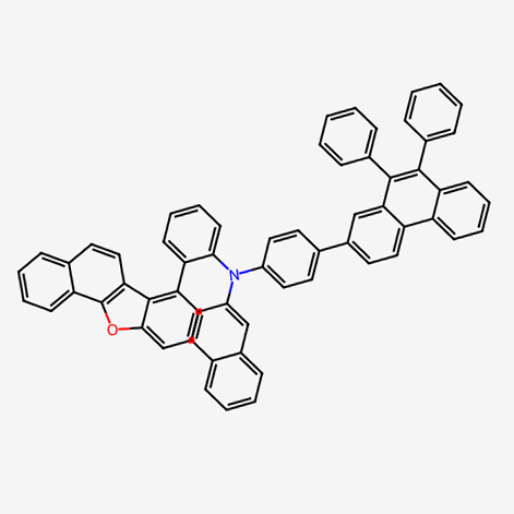 c1ccc(-c2c(-c3ccccc3)c3cc(-c4ccc(N(c5ccc6ccccc6c5)c5ccccc5-c5cccc6oc7c8ccccc8ccc7c56)cc4)ccc3c3ccccc23)cc1